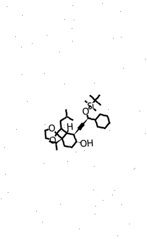 CC(C)CC1[C@@H]2[C@@H](C#C[C@@H](O[Si](C)(C)C(C)(C)C)C3CCCCC3)[C@H](O)CC[C@]2(C(C)C)C12OCCO2